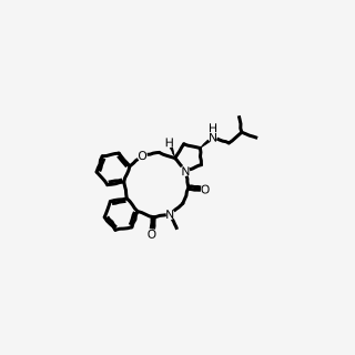 CC(C)CN[C@@H]1C[C@H]2COc3ccccc3-c3ccccc3C(=O)N(C)CC(=O)N2C1